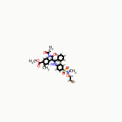 COC(=O)c1cc2c(cc1C)/C(=C(\Nc1ccc(S(=O)(=O)N(C)OCCBr)cc1)c1ccccc1)C(=O)N2C(C)=O